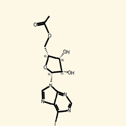 CC(=O)OC[C@H]1O[C@@H](n2cnc3c(I)ncnc32)[C@@H](O)[C@H]1O